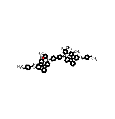 C=Cc1ccc(COc2ccc(C3(c4cc(C)ccc4C)c4ccccc4-c4ccc(N(c5ccc(-c6ccc(N(c7ccc(C)c(F)c7)c7ccc8c(c7)C(c7ccc(OCc9ccc(C=C)cc9)cc7)(c7cc(C)ccc7C)c7ccccc7-8)cc6)cc5)c5ccc(C)c(F)c5)cc43)cc2)cc1